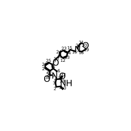 C=C1CCC(N2Cc3c(OCc4ccc(CCN5CCOCC5)cc4)cccc3C2=O)C(=O)N1